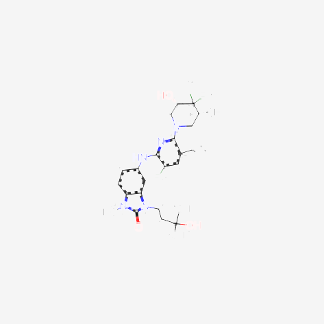 C[C@@H]1CN(c2nc(Nc3ccc4c(c3)n(CCC(C)(C)O)c(=O)n4C)c(F)cc2C#N)C[C@H](O)C1(F)F